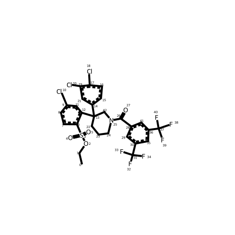 CCOS(=O)(=O)c1ccc(Cl)cc1C1(c2ccc(Cl)c(Cl)c2)CCCN(C(=O)c2cc(C(F)(F)F)cc(C(F)(F)F)c2)C1